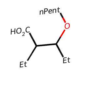 CCCCCOC(CC)C(CC)C(=O)O